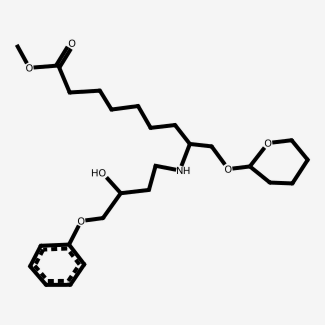 COC(=O)CCCCCCC(COC1CCCCO1)NCCC(O)COc1ccccc1